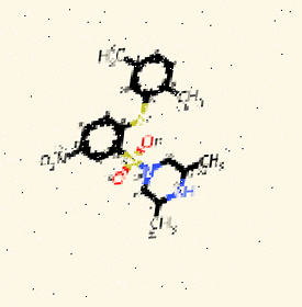 Cc1ccc(C)c(Sc2ccc([N+](=O)[O-])cc2S(=O)(=O)N2CC(C)NC(C)C2)c1